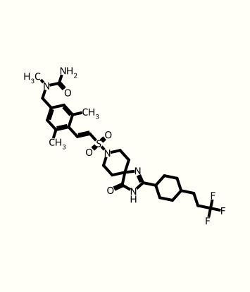 Cc1cc(CN(C)C(N)=O)cc(C)c1C=CS(=O)(=O)N1CCC2(CC1)N=C(C1CCC(CCC(F)(F)F)CC1)NC2=O